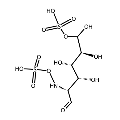 O=C[C@H](NOS(=O)(=O)O)[C@@H](O)[C@H](O)[C@H](O)C(O)OS(=O)(=O)O